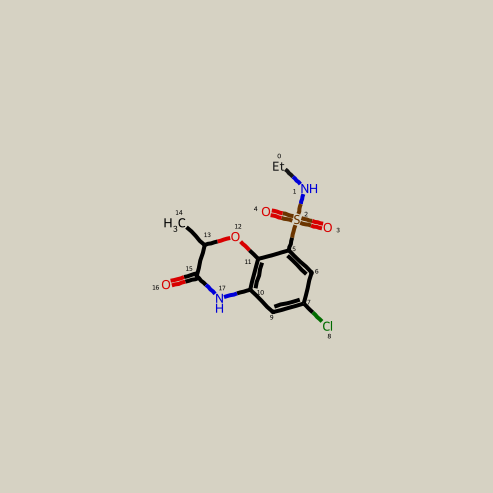 CCNS(=O)(=O)c1cc(Cl)cc2c1OC(C)C(=O)N2